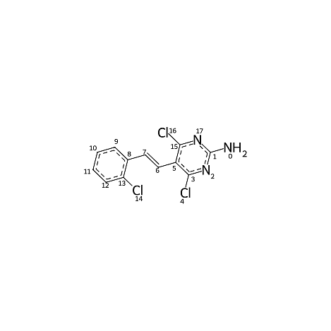 Nc1nc(Cl)c(/C=C/c2ccccc2Cl)c(Cl)n1